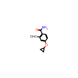 NC(=O)c1ccc(OC2CC2)cc1C=O